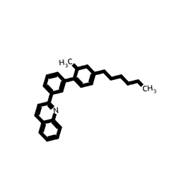 CCCCCCC1=CC=C(c2cccc(-c3ccc4ccccc4n3)c2)C(C)C1